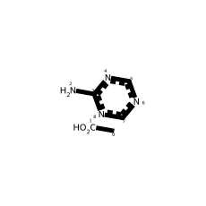 CC(=O)O.Nc1ncncn1